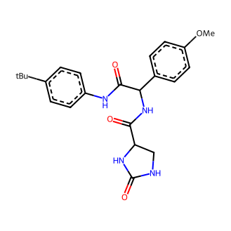 COc1ccc(C(NC(=O)C2CNC(=O)N2)C(=O)Nc2ccc(C(C)(C)C)cc2)cc1